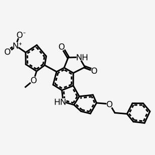 COc1cc([N+](=O)[O-])ccc1-c1cc2[nH]c3ccc(OCc4ccccc4)cc3c2c2c1C(=O)NC2=O